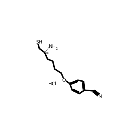 Cl.N#Cc1ccc(OCCCC[C@@H](N)CS)cc1